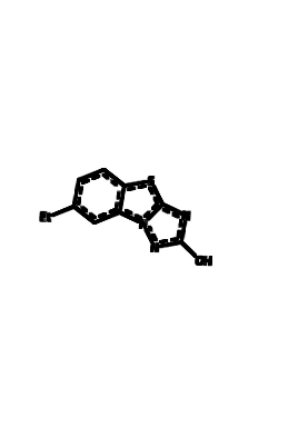 CCc1ccc2sc3nc(O)nn3c2c1